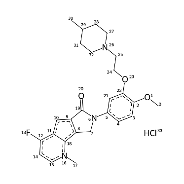 COc1ccc(N2Cc3c(cc4c(F)ccn(C)c3-4)C2=O)cc1OCCN1CCC(C)CC1.Cl